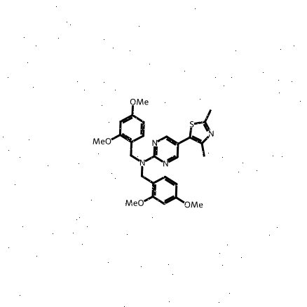 COc1ccc(CN(Cc2ccc(OC)cc2OC)c2ncc(-c3sc(C)nc3C)cn2)c(OC)c1